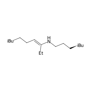 CC/C(=C\CCC(C)CC)NCCC[C@H](C)CC